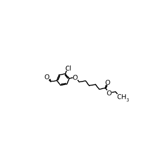 CCOC(=O)CCCCCOc1ccc(C=O)cc1Cl